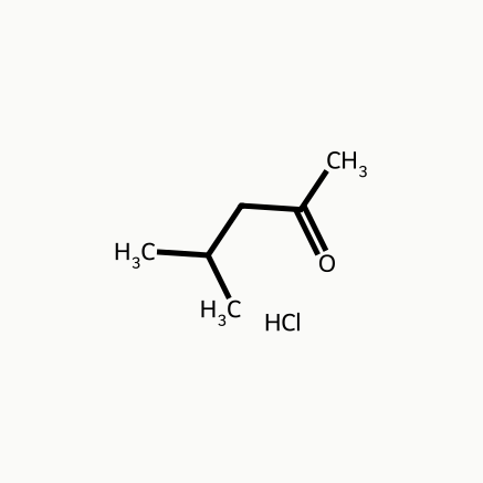 CC(=O)CC(C)C.Cl